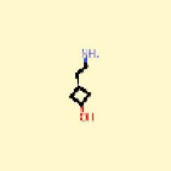 NCC[C@H]1C[C@@H](O)C1